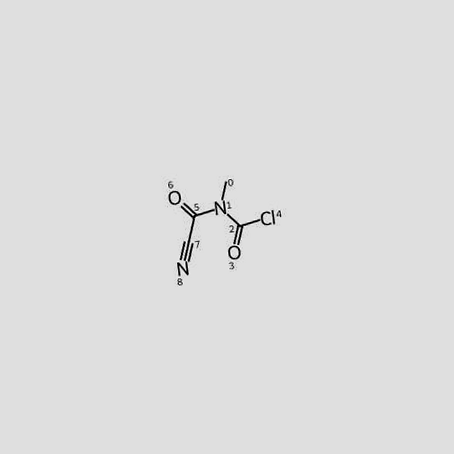 CN(C(=O)Cl)C(=O)C#N